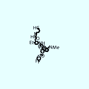 C#C/C=C\C=N/CNC(=O)Cc1cc(NC(=O)CN(Cc2ccccc2CNC)C(=O)C2(CC)CCN(C(=O)CN3CCC(F)(F)CC3)CC2)ccc1CC